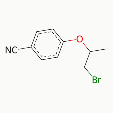 CC(CBr)Oc1ccc(C#N)cc1